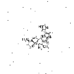 CC(C)n1c(-c2ccc3c(c2)OCCN3C)nn2c(-c3c[nH]cn3)cnc2c1=O